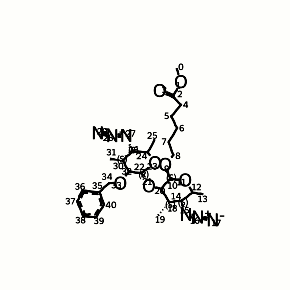 COC(=O)CCCCCO[C@H]1OC(C)[C@@H](N=[N+]=[N-])[C@H](C)C1O[C@H]1OC(C)[C@@H](N=[N+]=[N-])[C@H](C)C1OCc1ccccc1